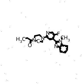 CCC(=O)N1CCN(c2cc(-c3nc4ccccc4n3C)c(F)cn2)CC1